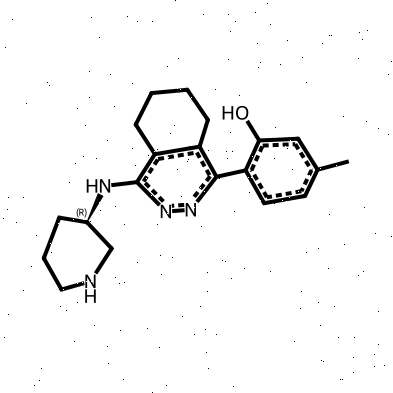 Cc1ccc(-c2nnc(N[C@@H]3CCCNC3)c3c2CCCC3)c(O)c1